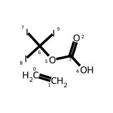 C=C.O=C(O)OC(I)(I)I